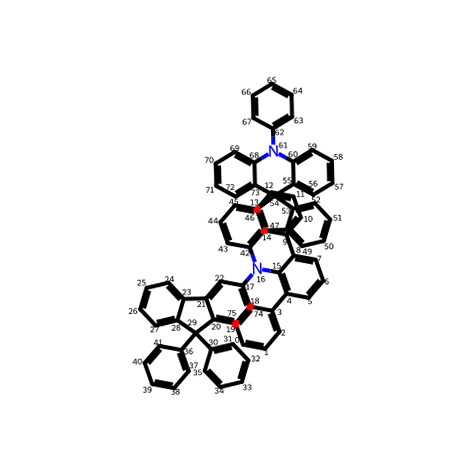 c1ccc(-c2cccc(-c3ccccc3)c2N(c2ccc3c(c2)-c2ccccc2C3(c2ccccc2)c2ccccc2)c2cccc3c2-c2ccccc2C32c3ccccc3N(c3ccccc3)c3ccccc32)cc1